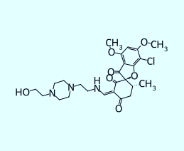 COc1cc(OC)c2c(c1Cl)O[C@@]1(C(=O)/C(=C\NCCN3CCN(CCO)CC3)C(=O)C[C@H]1C)C2=O